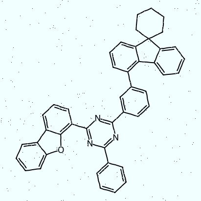 c1ccc(-c2nc(-c3cccc(-c4cccc5c4-c4ccccc4C54CCCCC4)c3)nc(-c3cccc4c3oc3ccccc34)n2)cc1